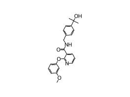 COc1cccc(Oc2ncccc2C(=O)NCc2ccc(C(C)(C)O)cc2)c1